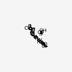 COc1cc(OC)c(-c2cn3ccc(N4CCN(c5cnc(N6CCN(S(=O)(=O)C7CC7)CC6)nc5)CC4)cc3n2)cc1Cl.O=C(O)C(F)(F)F